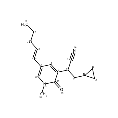 CCO/C=C/c1cc(C(C#N)CC2CC2)c(=O)n(C)c1